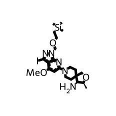 COc1cc(N2CCC3(CC2)CO[C@@H](C)[C@H]3N)nc2c1c(I)nn2COCC[Si](C)(C)C